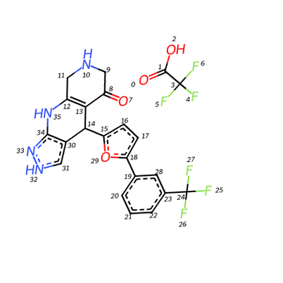 O=C(O)C(F)(F)F.O=C1CNCC2=C1C(c1ccc(-c3cccc(C(F)(F)F)c3)o1)c1c[nH]nc1N2